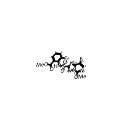 COC(=O)c1cccc(F)c1NS(=O)(=O)c1nc2c(F)cnc(OC)n2n1